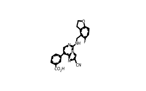 N#Cc1cn2c(NCc3c(F)ccc4c3CCO4)ncc(-c3cccc(C(=O)O)c3)c2n1